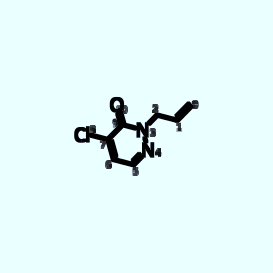 C=CCn1nccc(Cl)c1=O